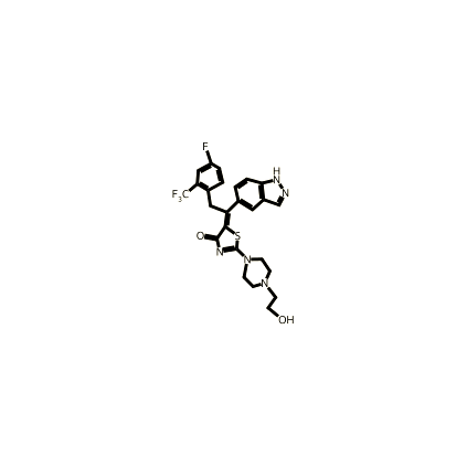 O=C1N=C(N2CCN(CCO)CC2)SC1=C(Cc1ccc(F)cc1C(F)(F)F)c1ccc2[nH]ncc2c1